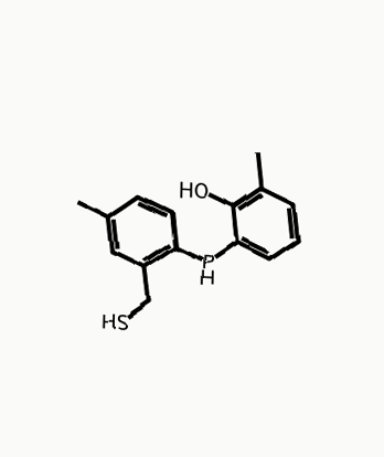 Cc1ccc(Pc2cccc(C)c2O)c(CS)c1